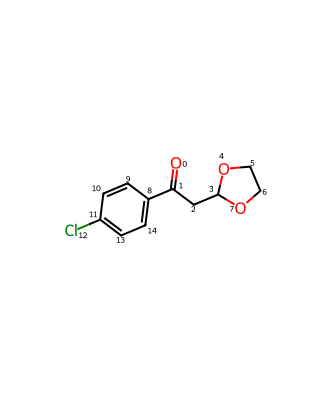 O=C(CC1OCCO1)c1ccc(Cl)cc1